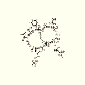 CC(C)C(=O)[C@@H]1CSCC(=O)N[C@@H](CCCCNC(C)(C)C)C(=O)N[C@H]2CSSC[C@H](NC(=O)[C@H](CC(=O)O)NC(=O)CNC(=O)[C@H](CCCNC(=N)N)NC2=O)C(=O)N[C@@H](Cc2ccccc2)C(=O)N1